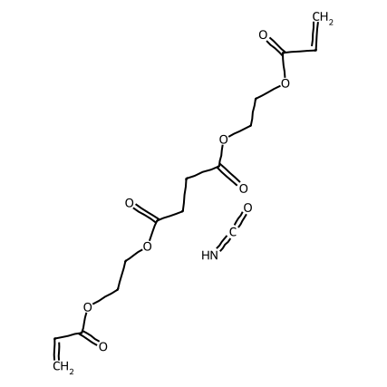 C=CC(=O)OCCOC(=O)CCC(=O)OCCOC(=O)C=C.N=C=O